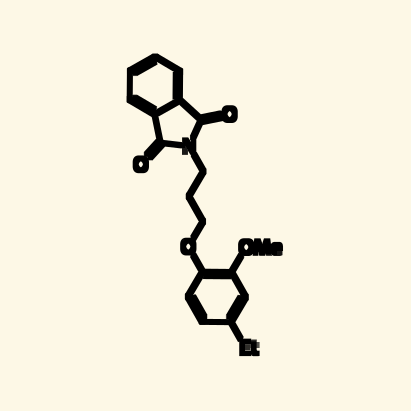 CCc1ccc(OCCCN2C(=O)c3ccccc3C2=O)c(OC)c1